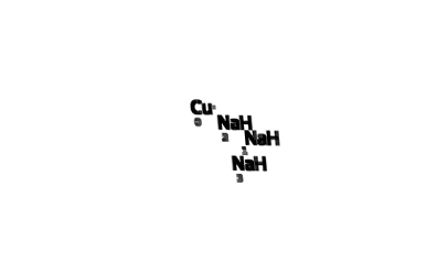 [Cu].[NaH].[NaH].[NaH]